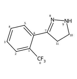 FC(F)(F)c1ccccc1C1=NNCC1